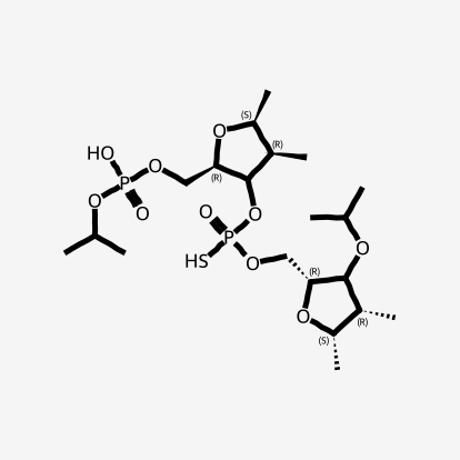 CC(C)OC1[C@@H](COP(=O)(S)OC2[C@@H](COP(=O)(O)OC(C)C)O[C@@H](C)[C@H]2C)O[C@@H](C)[C@H]1C